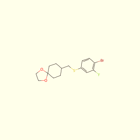 Fc1cc(SCC2CCC3(CC2)OCCO3)ccc1Br